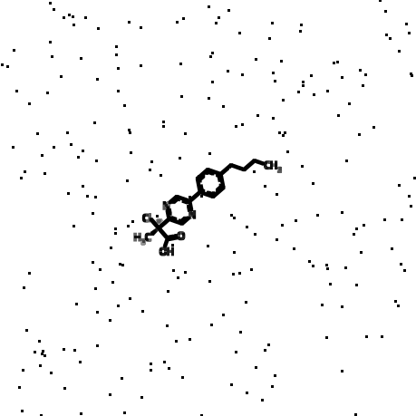 CCCCc1ccc(-c2cnc([C@@](C)(Cl)C(=O)O)cn2)cc1